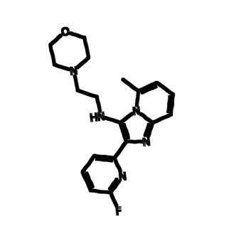 Cc1cccc2nc(-c3cccc(F)n3)c(NCCN3CCOCC3)n12